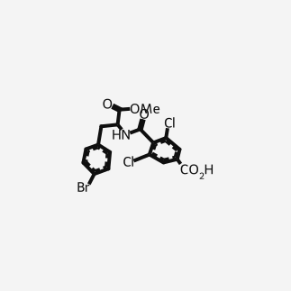 COC(=O)C(Cc1ccc(Br)cc1)NC(=O)c1c(Cl)cc(C(=O)O)cc1Cl